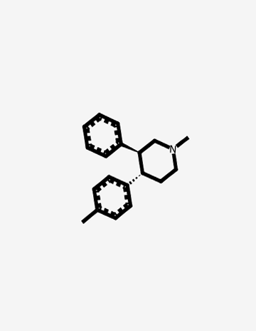 Cc1ccc([C@H]2CCN(C)C[C@@H]2c2ccccc2)cc1